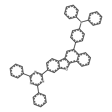 c1ccc(-c2nc(-c3ccccc3)nc(-c3ccc4c(c3)oc3c5ccccc5c(-c5ccc(N(c6ccccc6)c6ccccc6)cc5)cc43)n2)cc1